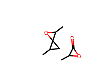 CC1CC12OC2C.CC1OC1=O